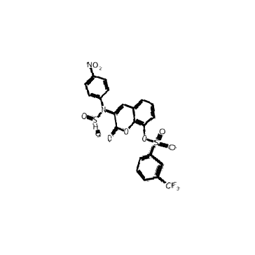 O=c1oc2c(OS(=O)(=O)c3cccc(C(F)(F)F)c3)cccc2cc1N(c1ccc([N+](=O)[O-])cc1)[SH](=O)=O